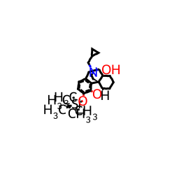 CC(C)(C)[Si](C)(C)Oc1ccc2c3c1O[C@H]1CCC[C@@]4(O)C(C2)N(CC2CC2)CC[C@]314